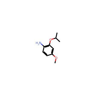 COc1ccc(N)c(OC(C)C)c1